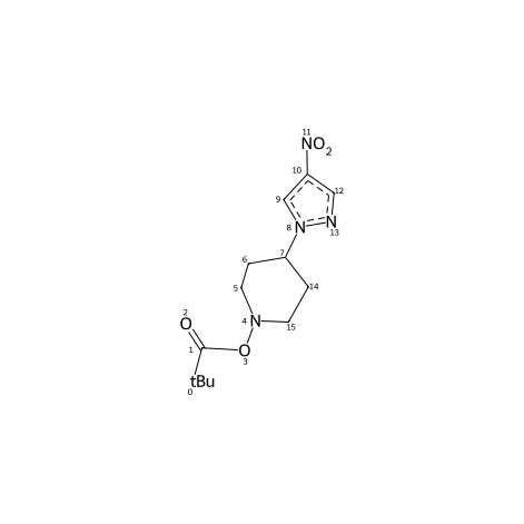 CC(C)(C)C(=O)ON1CCC(n2cc([N+](=O)[O-])cn2)CC1